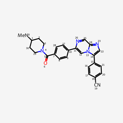 CNC1CCN(C(=O)c2ccc(-c3cn4c(-c5ccc(C#N)cc5)cnc4cn3)cc2)CC1